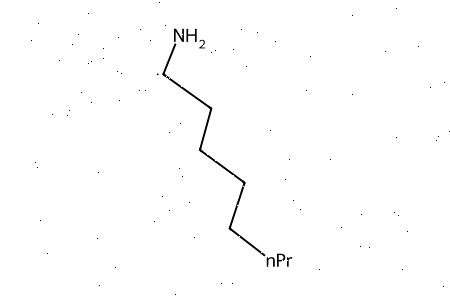 CCCCCCC[CH]N